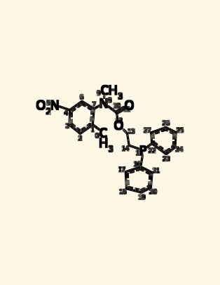 Cc1ccc([N+](=O)[O-])cc1N(C)C(=O)OCCP(c1ccccc1)c1ccccc1